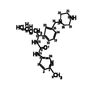 Cc1ccc(NC(=O)NC(C)c2cccc(CN3CCNCC3)c2)cn1.Cl.Cl.Cl